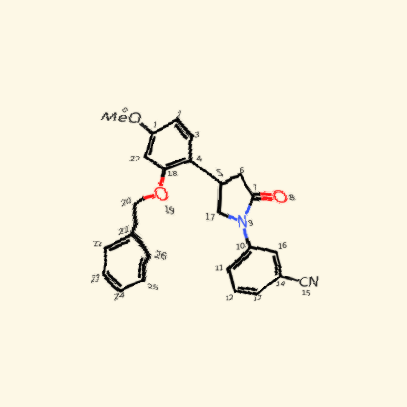 COc1ccc(C2CC(=O)N(c3cccc(C#N)c3)C2)c(OCc2ccccc2)c1